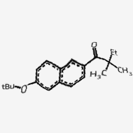 CCC(C)(C)C(=O)c1ccc2cc(OC(C)(C)C)ccc2c1